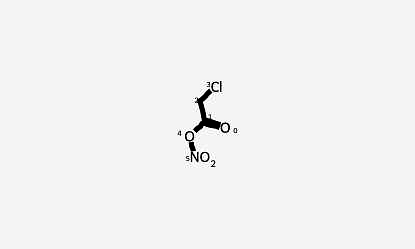 O=C(CCl)O[N+](=O)[O-]